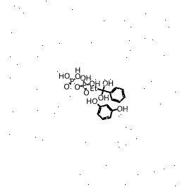 CCC(O)(O)c1ccccc1.O=P(O)(O)OP(=O)(O)O.Oc1cccc(O)c1